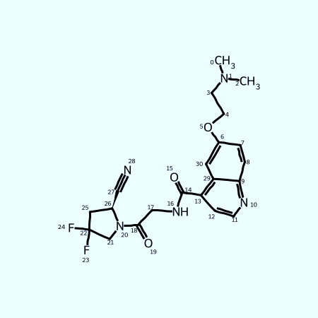 CN(C)CCOc1ccc2nccc(C(=O)NCC(=O)N3CC(F)(F)C[C@H]3C#N)c2c1